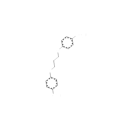 O=C(O)c1ccc(OCCCOc2ccc(C(=O)O)cc2)cc1